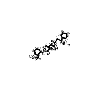 NC(Cc1nc2[nH]c3c(=O)n(Cc4cccc5[nH]ncc45)ncc3c2s1)c1ccccc1